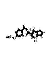 CCCCOc1ccc(C(C)NC(=O)c2c[nH]c3c(c2=O)CC=C3)cc1